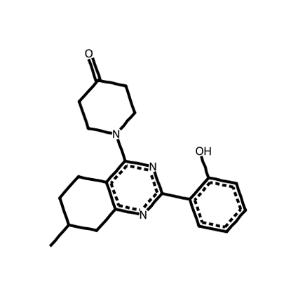 CC1CCc2c(nc(-c3ccccc3O)nc2N2CCC(=O)CC2)C1